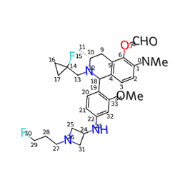 CNc1ccc2c(c1OC=O)C[C@@H](C)N(CC1(F)CC1)C2c1ccc(NC2CN(CCCF)C2)cc1OC